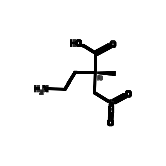 C[C@](CCN)(C[SH](=O)=O)C(=O)O